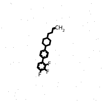 C=CCCC1CCC(c2ccc(-c3ccc(F)c(F)c3F)cc2)CC1